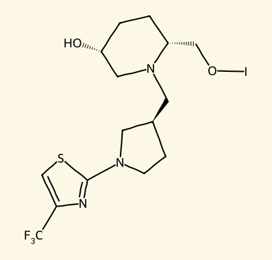 O[C@@H]1CC[C@H](COI)N(C[C@H]2CCN(c3nc(C(F)(F)F)cs3)C2)C1